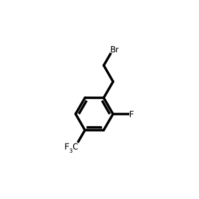 Fc1cc(C(F)(F)F)ccc1CCBr